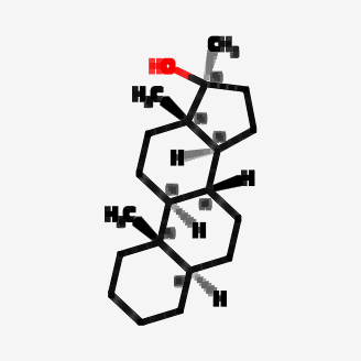 C[C@]12CCCC[C@@H]1CC[C@@H]1[C@@H]2CC[C@@]2(C)[C@H]1CC[C@]2(C)O